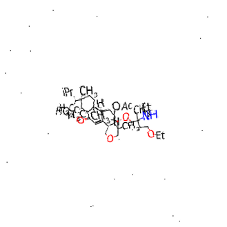 CCNC(C)(CCOCC)CO[C@H]1[C@H](OC(C)=O)C[C@@]23COC[C@]1(C)[C@@H]2CC[C@H]1C3=CC(=O)[C@@]2(C)[C@H](C(=O)O)[C@@](C)([C@H](C)C(C)C)CC[C@]12C